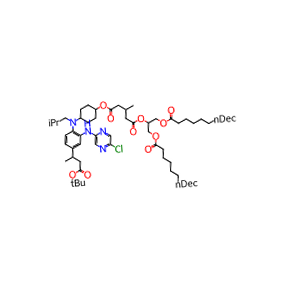 CCCCCCCCCCCCCCCC(=O)OCC(COC(=O)CCCCCCCCCCCCCCC)OC(=O)CC(C)CC(=O)OC1CCC(N(CC(C)C)c2ccc(C(C)CC(=O)OC(C)(C)C)cc2Nc2cnc(Cl)cn2)CC1